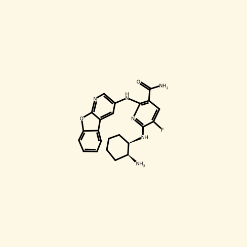 NC(=O)c1cc(F)c(N[C@@H]2CCCC[C@@H]2N)nc1Nc1cnc2oc3ccccc3c2c1